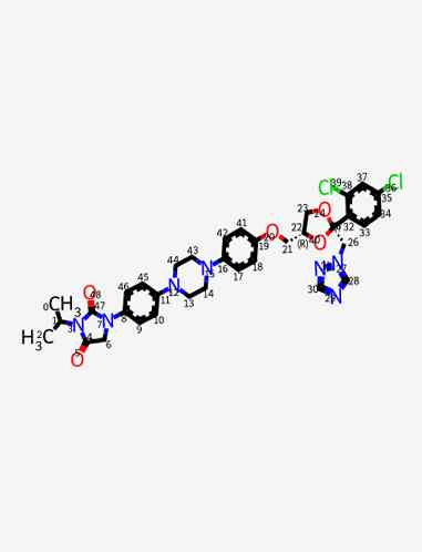 CC(C)N1C(=O)CN(c2ccc(N3CCN(c4ccc(OC[C@@H]5CO[C@@](Cn6cncn6)(c6ccc(Cl)cc6Cl)O5)cc4)CC3)cc2)C1=O